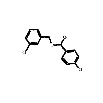 [O]C(OCc1cccc(Cl)c1)c1ccc(Cl)cc1